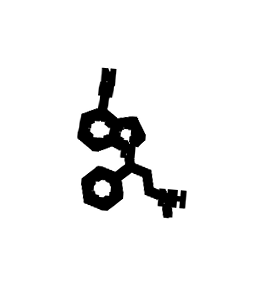 CNCCC(c1ccccc1)n1ccc2c(C#N)cccc21